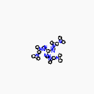 c1ccc2c(c1)c1ccccc1n2-c1ccc2c(c1)c1ccccc1n2-c1ccnc(-c2cc(-c3nccc(-n4c5ccccc5c5cc(-n6c7ccccc7c7ccccc76)ccc54)n3)cc(-c3nccc(-n4c5ccccc5c5cc(-n6c7ccccc7c7ccccc76)ccc54)n3)c2)n1